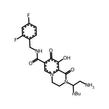 CCCCC(CN)N1CCn2cc(C(=O)NCc3ccc(F)cc3F)c(=O)c(O)c2C1=O